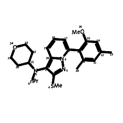 CCCN(c1c(SC)nn2c(-c3c(C)cc(C)cc3OC)cccc12)C1CCOCC1